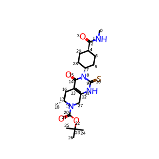 CNC(=O)[C@H]1CC[C@H](n2c(=S)[nH]c3c(c2=O)C[C@@H](C)N(C(=O)OC(C)(C)C)C3)CC1